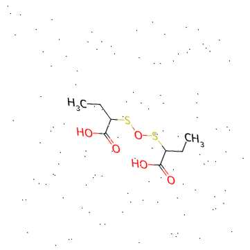 CCC(SOSC(CC)C(=O)O)C(=O)O